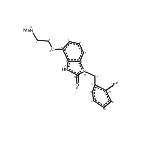 CNCCOc1cccc2c1[nH]c(=O)n2Cc1ccccc1F